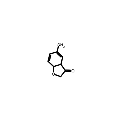 NC1=CC2C(=O)COC2C=C1